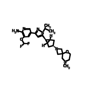 CC(C)n1nc(-c2cnc(N)c(OC(F)F)c2)cc1[C@H]1[C@@H]2C[C@H](N3CC4(CN(C)CCO4)C3)C[C@@H]21